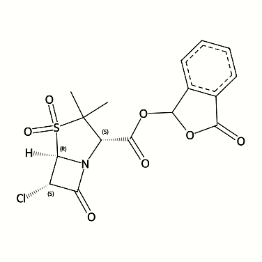 CC1(C)[C@H](C(=O)OC2OC(=O)c3ccccc32)N2C(=O)[C@H](Cl)[C@H]2S1(=O)=O